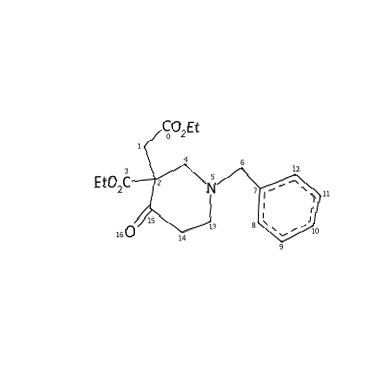 CCOC(=O)CC1(C(=O)OCC)CN(Cc2ccccc2)CCC1=O